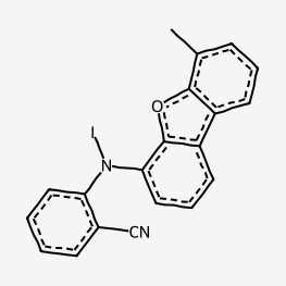 Cc1cccc2c1oc1c(N(I)c3ccccc3C#N)cccc12